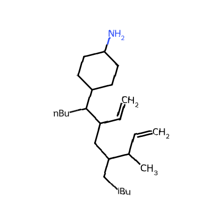 C=CC(C)C(CC(C)CC)CC(C=C)C(CCCC)C1CCC(N)CC1